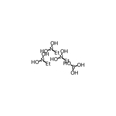 CCN(O)O.CCN(O)O.CCN(O)O.OB(O)O